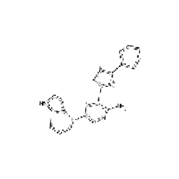 Nc1ncc(-c2cccc3[nH]ccc23)nc1-c1nnc(-c2ccccc2)o1